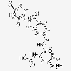 O=C(O)NC(Cc1c[nH]cn1)C(=O)NCc1ccc2c(c1)CN([C@H]1CCC(=O)NC1=O)C2=O